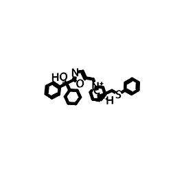 O[C@](c1ccccc1)(c1ncc(C[N+]23CCC(CC2)[C@H](CSc2ccccc2)C3)o1)C1CCCCC1